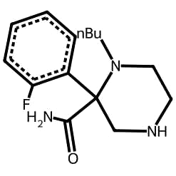 CCCCN1CCNCC1(C(N)=O)c1ccccc1F